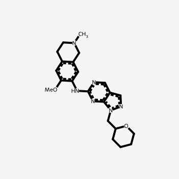 COc1cc2c(cc1Nc1ncc3cnn(CC4CCCCO4)c3n1)CN(C)CC2